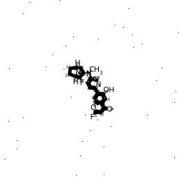 CN(c1ccc(-c2cc3oc(F)cc(=O)c3cc2O)nn1)[C@H]1C[C@@H]2CC[C@H]([C@H]1F)N2C